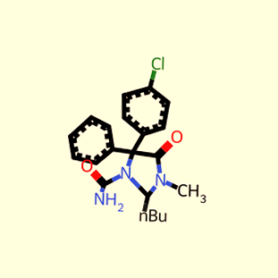 CCCCC1N(C)C(=O)C(c2ccccc2)(c2ccc(Cl)cc2)N1C(N)=O